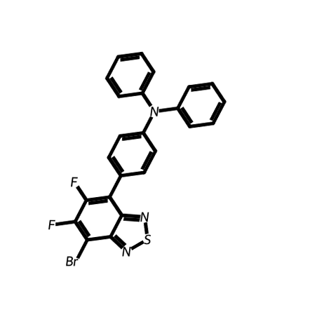 Fc1c(F)c(-c2ccc(N(c3ccccc3)c3ccccc3)cc2)c2nsnc2c1Br